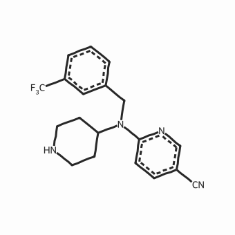 N#Cc1ccc(N(Cc2cccc(C(F)(F)F)c2)C2CCNCC2)nc1